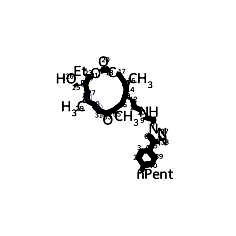 CCCCCc1ccc(-c2cn(CCNCC[C@@H]3C[C@@H](C)CCC(=O)O[C@H](CC)[C@@H](CO)/C=C(C)/C=C/C(=O)[C@H](C)C3)nn2)cc1